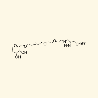 CCCOCc1cn(CCOCCOCCOCCOCC2OCCC(O)C2O)nn1